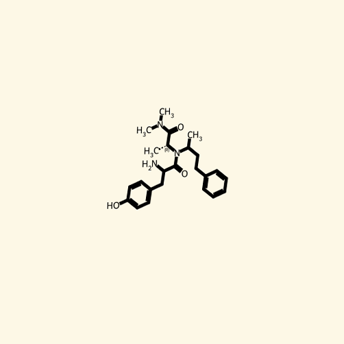 CC(CCc1ccccc1)N(C(=O)C(N)Cc1ccc(O)cc1)[C@H](C)C(=O)N(C)C